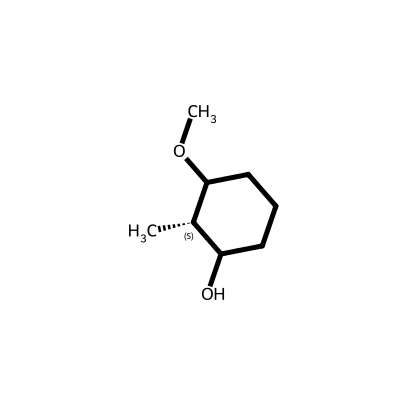 COC1CCCC(O)[C@@H]1C